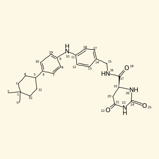 CC1(C)CCC(c2ccc(Nc3ccc(CNC(=O)[C@@H]4CC(=O)NC(=O)N4)cc3)cc2)CC1